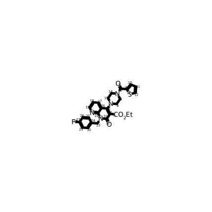 CCOC(=O)c1c(N2CCN(C(=O)c3cccs3)CC2)c2cccnc2n(Cc2ccc(F)cc2)c1=O